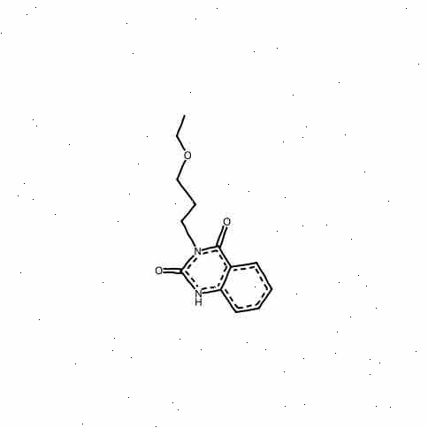 CCOCCCn1c(=O)[nH]c2ccccc2c1=O